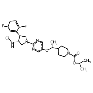 CC(C)OC(=O)N1CCC([C@H](C)Oc2cnc(N3C[C@H](NCl)[C@@H](C4=CC(F)CC=C4F)C3)nc2)CC1